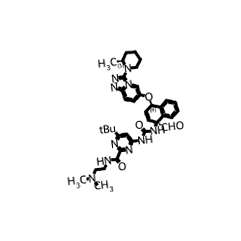 C[C@H]1CCCCN1c1nnc2ccc(O[C@@H]3C=C[C@](C=O)(NC(=O)Nc4cc(C(C)(C)C)nc(C(=O)NCCN(C)C)n4)c4ccccc43)cn12